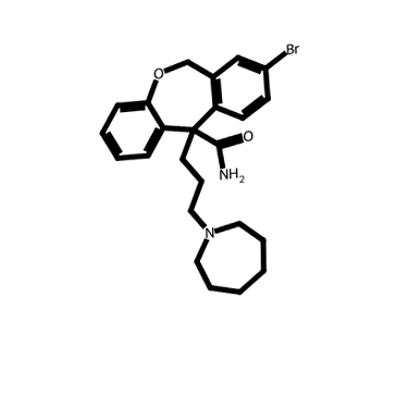 NC(=O)C1(CCCN2CCCCCC2)c2ccc(Br)cc2COc2ccccc21